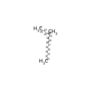 CCCCCCCC/C=C/CCC(C)CCCC